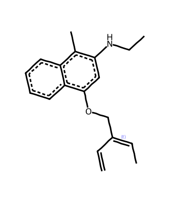 C=C/C(=C\C)COc1cc(NCC)c(C)c2ccccc12